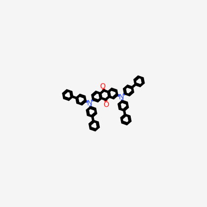 O=C1c2ccc(N(c3ccc(-c4ccccc4)cc3)c3ccc(-c4ccccc4)cc3)cc2C(=O)c2cc(N(c3ccc(-c4ccccc4)cc3)c3ccc(-c4ccccc4)cc3)ccc21